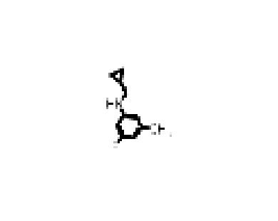 Cc1cc(F)cc(NCC2CC2)c1